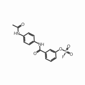 CC(=O)Nc1ccc(NC(=O)c2cccc(OS(=O)(=O)F)c2)cc1